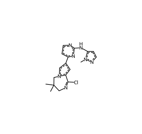 Cn1nccc1Nc1nccc(-c2cc3n(c2)CC(C)(C)CN=C3Cl)n1